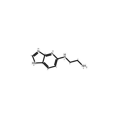 NCCNc1ccc2[nH]cnc2n1